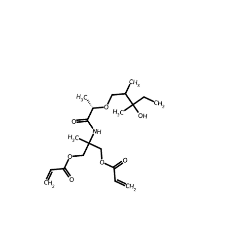 C=CC(=O)OCC(C)(COC(=O)C=C)NC(=O)[C@H](C)OCC(C)C(C)(O)CC